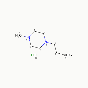 CCCCCCCCN1CCN(C)CC1.Cl